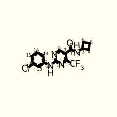 O=C(NC1CCC1)c1cnc(Nc2cccc(Cl)c2)nc1C(F)(F)F